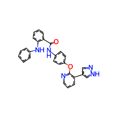 O=C(Nc1ccc(Oc2ncccc2-c2cn[nH]c2)cc1)c1ccccc1Nc1ccccc1